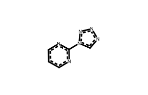 [c]1nnnn1-c1ncccn1